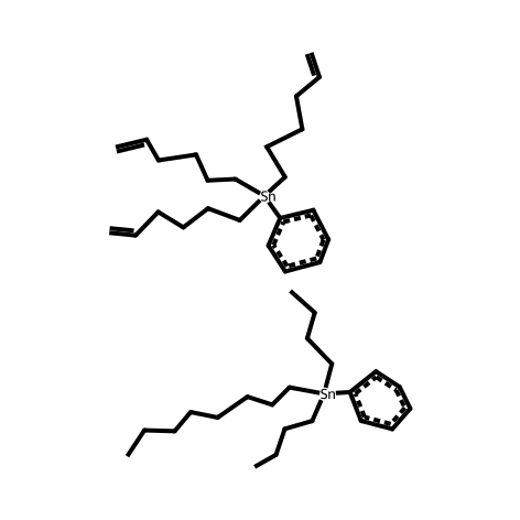 C=CCCC[CH2][Sn]([CH2]CCCC=C)([CH2]CCCC=C)[c]1ccccc1.CCCCCCC[CH2][Sn]([CH2]CCC)([CH2]CCC)[c]1ccccc1